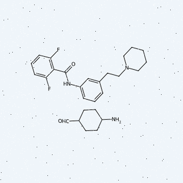 NC1CCC(C=O)CC1.O=C(Nc1cccc(CCN2CCCCC2)c1)c1c(F)cccc1F